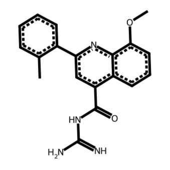 COc1cccc2c(C(=O)NC(=N)N)cc(-c3ccccc3C)nc12